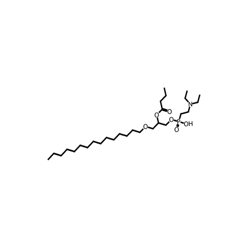 CCCCCCCCCCCCCCCOCC(COP(=O)(O)CCN(CC)CC)OC(=O)CCC